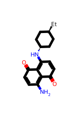 CC[C@H]1CC[C@H](NC2=C3C(=O)C=CC(N)=C3C(=O)C=C2)CC1